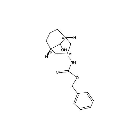 O=C(N[C@H]1C[C@H]2CCC[C@@H](C1)C2O)OCc1ccccc1